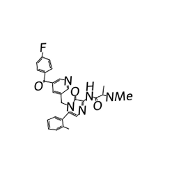 CNC(C)C(=O)Nc1ncc(-c2ccccc2C)n(Cc2cncc(C(=O)c3ccc(F)cc3)c2)c1=O